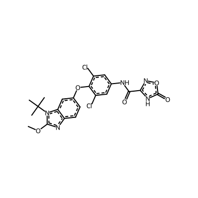 COc1nc2ccc(Oc3c(Cl)cc(NC(=O)c4noc(=O)[nH]4)cc3Cl)cc2n1C(C)(C)C